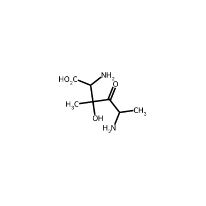 CC(N)C(=O)C(C)(O)C(N)C(=O)O